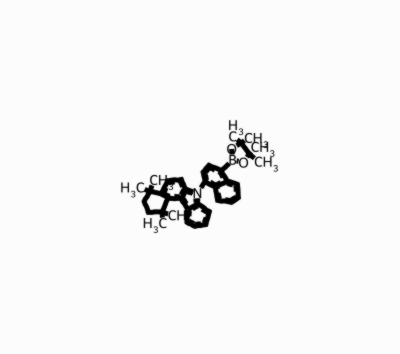 CC1(C)CCC(C)(C)c2c1ccc1c2c2ccccc2n1-c1ccc(B2OC(C)(C)C(C)(C)O2)c2ccccc12